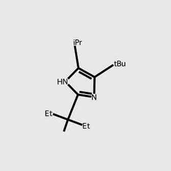 CCC(C)(CC)c1nc(C(C)(C)C)c(C(C)C)[nH]1